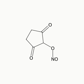 O=NOC1C(=O)CCC1=O